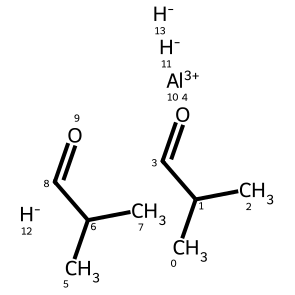 CC(C)C=O.CC(C)C=O.[Al+3].[H-].[H-].[H-]